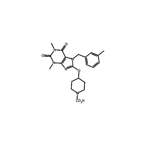 Cc1cccc(Cn2c(OC3CCN(C(=O)O)CC3)nc3c2c(=O)n(C)c(=O)n3C)c1